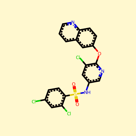 O=S(=O)(Nc1cnc(Oc2ccc3ncccc3c2)c(Cl)c1)c1ccc(Cl)cc1Cl